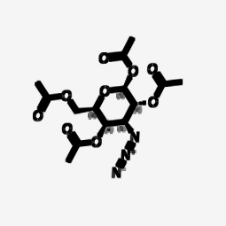 CC(=O)OC[C@H]1O[C@@H](OC(C)=O)[C@H](OC(C)=O)[C@@H](N=[N+]=[N-])[C@H]1OC(C)=O